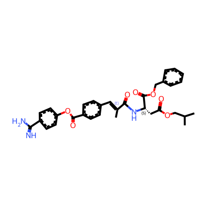 C/C(=C\c1ccc(C(=O)Oc2ccc(C(=N)N)cc2)cc1)C(=O)N[C@@H](CC(=O)OCC(C)C)C(=O)OCc1ccccc1